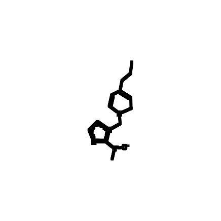 CCCC1=CCN(Cn2ccnc2[S+](C)[O-])C=C1